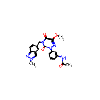 COc1nn(-c2cccc(NC(C)=O)c2)c(=O)n(Cc2ccc3nn(C)cc3c2)c1=O